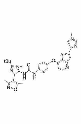 Cc1noc(C)c1-c1nc(C(C)(C)C)[nH]c1NC(=O)Nc1ccc(Oc2ccnc3cc(-c4cn(C)cn4)sc23)cc1